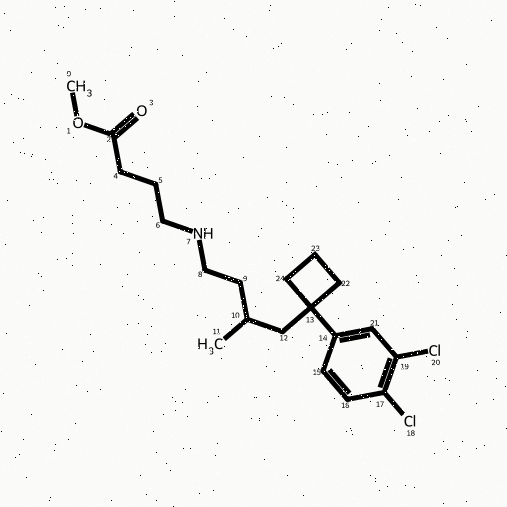 COC(=O)CCCNCCC(C)CC1(c2ccc(Cl)c(Cl)c2)CCC1